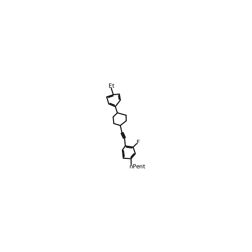 CCCCCc1ccc(C#CC2CCC(c3ccc(CC)cc3)CC2)c(F)c1